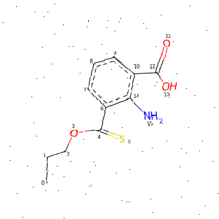 CCCOC(=S)c1cccc(C(=O)O)c1N